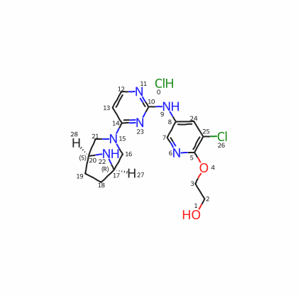 Cl.OCCOc1ncc(Nc2nccc(N3C[C@H]4CC[C@@H](C3)N4)n2)cc1Cl